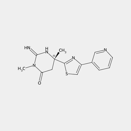 CN1C(=N)N[C@](C)(c2nc(-c3cccnc3)cs2)CC1=O